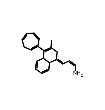 CC1=C(C2=CCC=CC=C2)C2C=CC=CC2/C(=C/C=C\N)C1